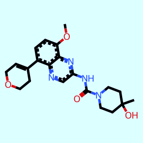 COc1ccc(C2=CCOCC2)c2ncc(NC(=O)N3CCC(C)(O)CC3)nc12